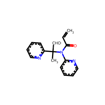 C=CC(=O)N(c1ccccn1)C(C)([C]=O)c1ccccn1